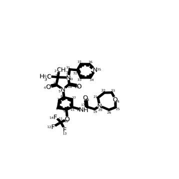 CC1(C)C(=O)N(c2ccc(OC(F)(F)F)c(NC(=O)CN3CCCOCC3)c2)C(=O)N1Cc1ccncc1